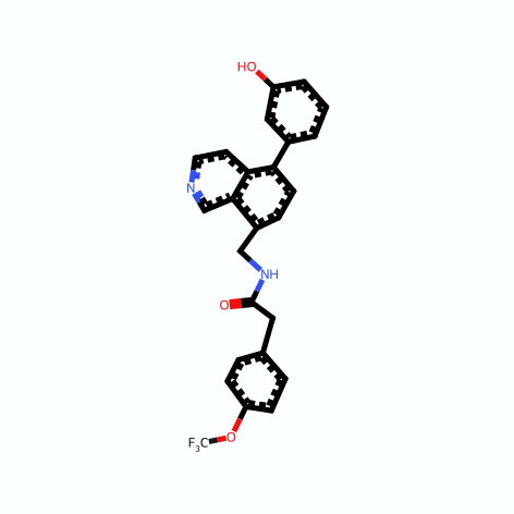 O=C(Cc1ccc(OC(F)(F)F)cc1)NCc1ccc(-c2cccc(O)c2)c2ccncc12